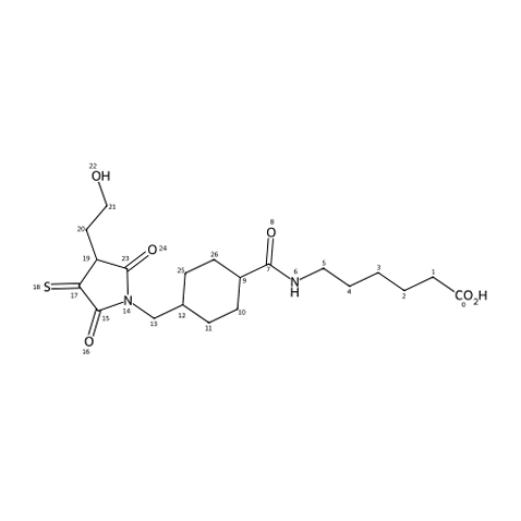 O=C(O)CCCCCNC(=O)C1CCC(CN2C(=O)C(=S)C(CCO)C2=O)CC1